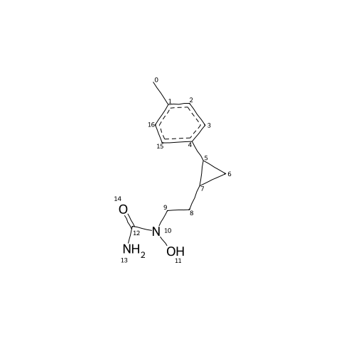 Cc1ccc(C2CC2CCN(O)C(N)=O)cc1